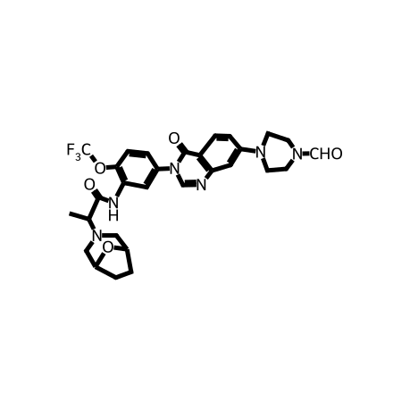 CC(C(=O)Nc1cc(-n2cnc3cc(N4CCN(C=O)CC4)ccc3c2=O)ccc1OC(F)(F)F)N1CC2CCC(C1)O2